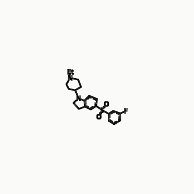 CCN1CCC(N2CCc3cc(S(=O)(=O)c4cccc(F)c4)ccc32)CC1